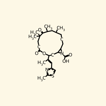 CC(=Cc1csc(C)n1)C1CC2C(CCCC(C)CC(C)C(=O)C(C)(C)CCC(=O)O1)N2C(=O)O